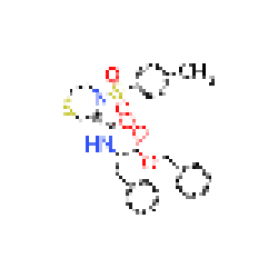 Cc1ccc(S(=O)(=O)N2CCSC[C@H]2C(=O)NC(Cc2ccccc2)C(=O)OCc2ccccc2)cc1